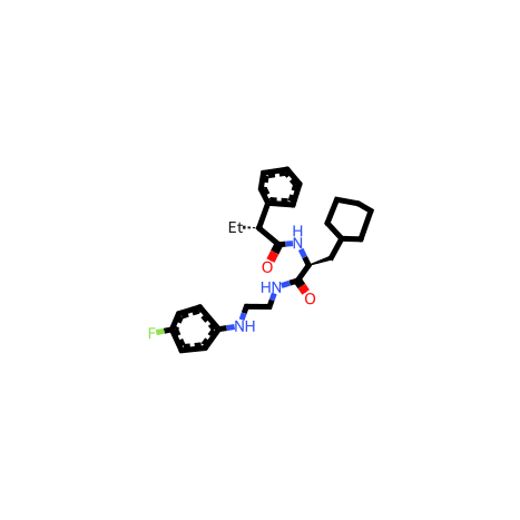 CC[C@@H](C(=O)N[C@@H](CC1CCCCC1)C(=O)NCCNc1ccc(F)cc1)c1ccccc1